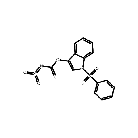 O=C(N=S(=O)=O)Oc1cn(S(=O)(=O)c2ccccc2)c2ccccc12